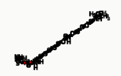 CC(C)(C)OC(=O)NCCOCCOCCOCCOCCOCCNC(=O)CCOCCOCCOCCOCCOCCOCCN1C=C(CNC(=O)CCCC[C@@H]2SCC(N)C2N)NN1